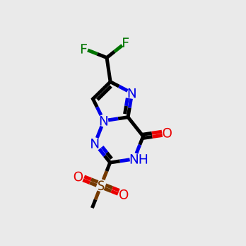 CS(=O)(=O)c1nn2cc(C(F)F)nc2c(=O)[nH]1